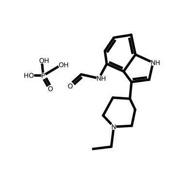 CCN1CCC(c2c[nH]c3cccc(NC=O)c23)CC1.O=P(O)(O)O